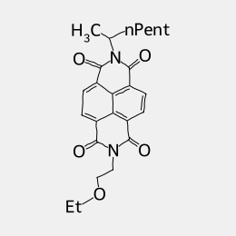 CCCCCC(C)N1C(=O)c2ccc3c4c(ccc(c24)C1=O)C(=O)N(CCOCC)C3=O